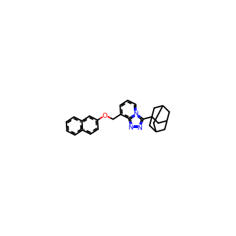 c1ccc2cc(OCc3cccn4c(C56CC7CC(CC(C7)C5)C6)nnc34)ccc2c1